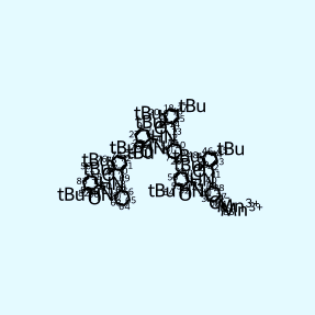 CC(C)(C)c1cc(CN[C@H]2CCCC[C@@H]2NCc2cc(C(C)(C)C)cc(C(C)(C)C)c2[O-])c([O-])c(C(C)(C)C)c1.CC(C)(C)c1cc(CN[C@H]2CCCC[C@@H]2NCc2cc(C(C)(C)C)cc(C(C)(C)C)c2[O-])c([O-])c(C(C)(C)C)c1.CC(C)(C)c1cc(CN[C@H]2CCCC[C@@H]2NCc2cc(C(C)(C)C)cc(C(C)(C)C)c2[O-])c([O-])c(C(C)(C)C)c1.[Cl-].[Mn+3].[Mn+3]